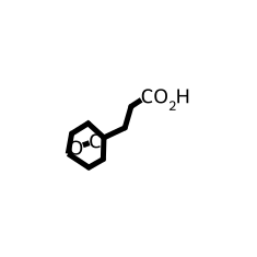 O=C(O)CCC12CCC(CC1)OC2